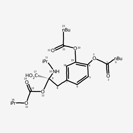 CCCCC(=O)Oc1ccc(C[C@](NC(C)C)(OC(=O)OC(C)C)C(=O)O)cc1OC(=O)CCCC